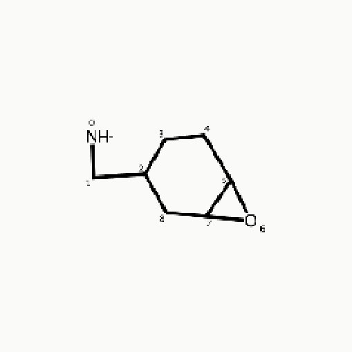 [NH]CC1CCC2OC2C1